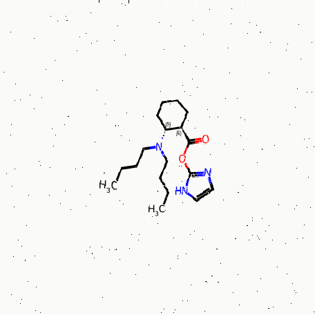 CCCCN(CCCC)[C@@H]1CCCC[C@H]1C(=O)Oc1ncc[nH]1